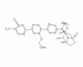 COCOc1cc(-c2cc(=O)n(C)cn2)ccc1-c1cnc(N(C)[C@H]2C[C@@H]3CC[C@H]([C@H]2F)N3C(=O)OC(C)(C)C)cn1